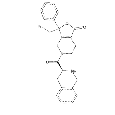 CC(C)CC1(c2ccccc2)OC(=O)C2=C1CN(C(=O)[C@@H]1Cc3ccccc3CN1)CC2